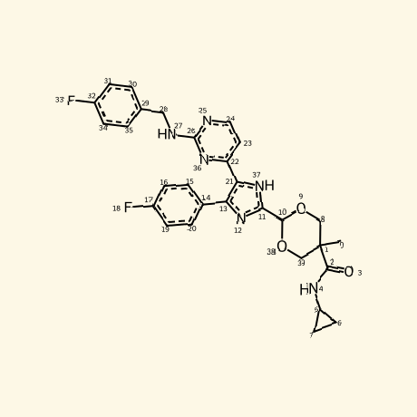 CC1(C(=O)NC2CC2)COC(c2nc(-c3ccc(F)cc3)c(-c3ccnc(NCc4ccc(F)cc4)n3)[nH]2)OC1